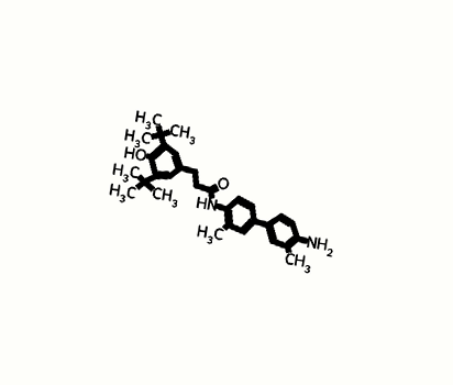 Cc1cc(-c2ccc(NC(=O)CCc3cc(C(C)(C)C)c(O)c(C(C)(C)C)c3)c(C)c2)ccc1N